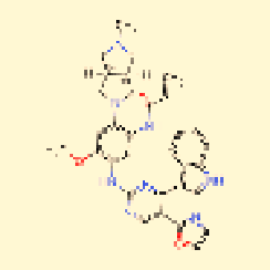 C=CC(=O)Nc1cc(Nc2ncc(-c3ncco3)c(-c3c[nH]c4ccccc34)n2)c(OC)cc1N1C[C@H]2CN(C)C[C@H]2C1